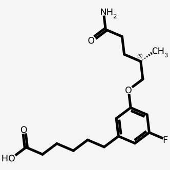 C[C@@H](CCC(N)=O)COc1cc(F)cc(CCCCCC(=O)O)c1